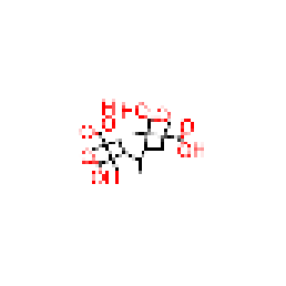 CC(C1CC(C)(C(=O)O)C1(C)C(=O)O)C1CC(C)(C(=O)O)C1(C)C(=O)O